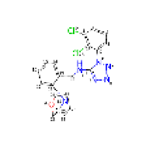 Clc1cccc(-n2nnnc2NCc2ccccc2N2CC3CCC2CO3)c1Cl